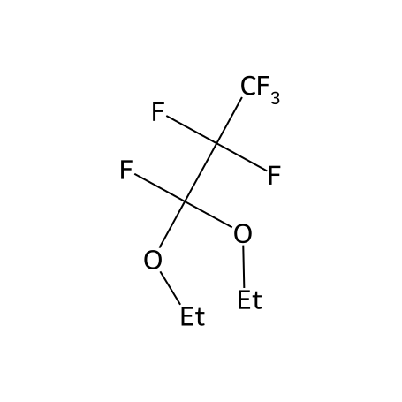 CCOC(F)(OCC)C(F)(F)C(F)(F)F